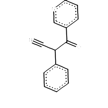 N#CC(C(=O)c1cccnc1)c1ccccc1